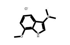 COc1cccc2c([S+](C)C)c[nH]c12.[Cl-]